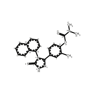 Cc1cc(-c2n[nH]c(=S)n2-c2cccc3ccccc23)ccc1OC(=O)N(C)C